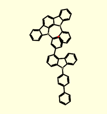 c1ccc(-c2ccc(-n3c4ccccc4c4c(-c5cccc(-n6c7ccccc7c7ccc8c9ccccc9n(-c9ccccc9)c8c76)c5)cccc43)cc2)cc1